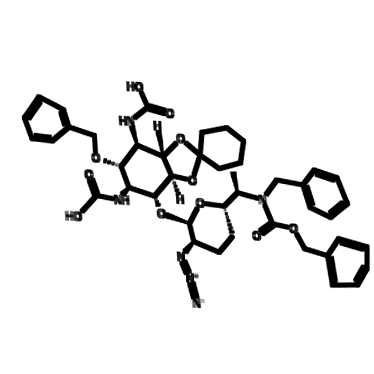 C[C@H]([C@@H]1CC[C@@H](N=[N+]=[N-])[C@@H](O[C@@H]2[C@@H](NC(=O)O)[C@H](OCc3ccccc3)[C@@H](NC(=O)O)[C@@H]3OC4(CCCCC4)O[C@@H]23)O1)N(Cc1ccccc1)C(=O)OCc1ccccc1